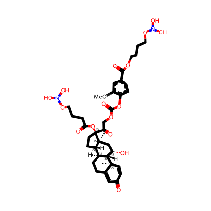 COc1cc(C(=O)OCCCCON(O)O)ccc1OC(=O)OCC(=O)[C@@]1(OC(=O)CCCON(O)O)CC[C@H]2[C@@H]3CCC4=CC(=O)C=C[C@]4(C)[C@H]3[C@@H](O)C[C@@]21C